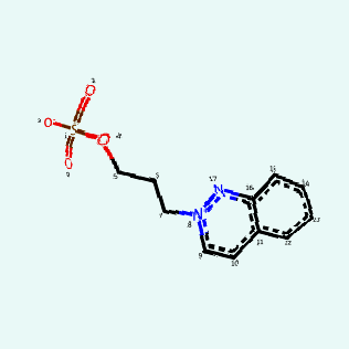 O=S(=O)([O-])OCCC[n+]1ccc2ccccc2n1